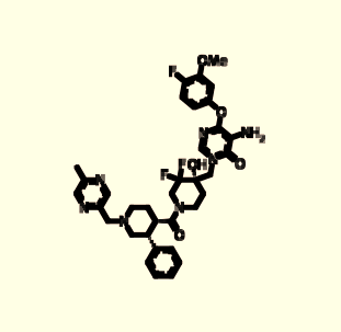 COc1cc(Oc2ncn(C[C@@]3(O)CCN(C(=O)[C@@H]4CCN(Cc5cnc(C)cn5)C[C@H]4c4ccccc4)CC3(F)F)c(=O)c2N)ccc1F